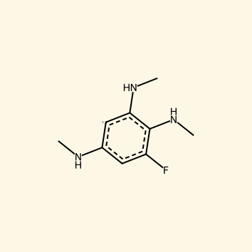 CNc1[c]c(NC)c(NC)c(F)c1